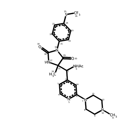 CC(=O)NC(c1ccnc(N2CCN(C)CC2)c1)C1(C)NC(=O)N(c2ccc(SC(F)(F)F)cc2)C1=O